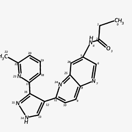 CCC(=O)Nc1cnc2ccc(-c3c[nH]nc3-c3cccc(C)n3)nc2c1